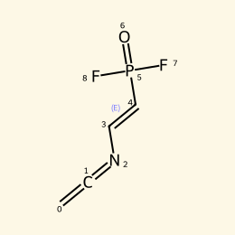 C=C=N/C=C/P(=O)(F)F